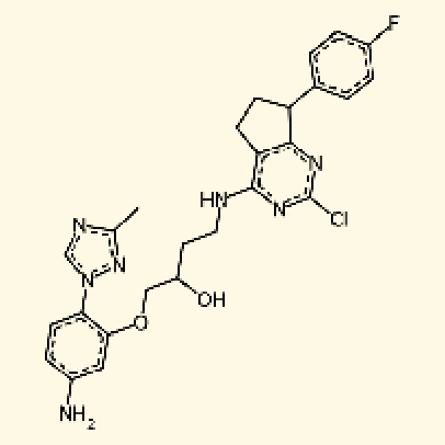 Cc1ncn(-c2ccc(N)cc2OCC(O)CCNc2nc(Cl)nc3c2CCC3c2ccc(F)cc2)n1